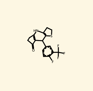 O=C1CCC2=C1C(c1ccc(F)c(C(F)(F)F)c1)C1=C(CCS1)N2